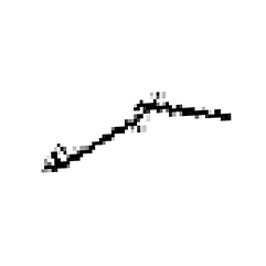 CCCCCCCCCCCC[C@@H](O)[C@@H]1CC[C@H]([C@H](O)CCCCCCCCCC[C@@H](O)CC2=C[C@H](C)OC2=O)O1